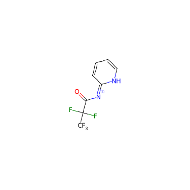 O=C(/N=c1\cccc[nH]1)C(F)(F)C(F)(F)F